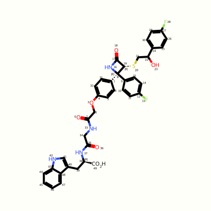 O=C(COc1ccc([C@]2(c3ccc(F)cc3)NC(=O)[C@@H]2SCC(O)c2ccc(F)cc2)cc1)NCC(=O)N[C@H](Cc1c[nH]c2ccccc12)C(=O)O